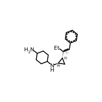 CC/C(=C\c1ccccc1)[C@@H]1C[C@H]1NC1CCC(N)CC1